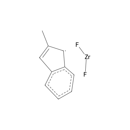 CC1=Cc2ccccc2[CH]1.[F][Zr][F]